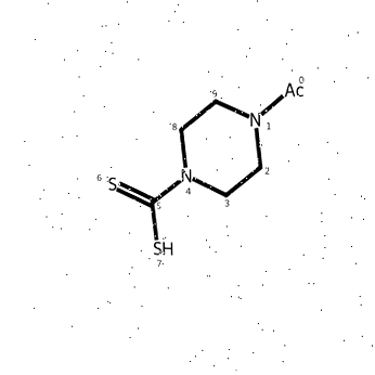 CC(=O)N1CCN(C(=S)S)CC1